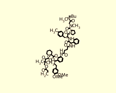 C=CC(=O)OCC(C)(C)C(=O)C(=O)N1CCCCC1C(=O)O[C@H](CCc1ccc(OC)c(OC)c1)c1cccc(NC(=O)CCC(=O)N[C@H](C(=O)N[C@@H](Cc2ccc(C)cc2)C(=O)N2CCC[C@H]2C(=O)N(C)CC(=O)N(C)CCCC)c2ccccc2)c1